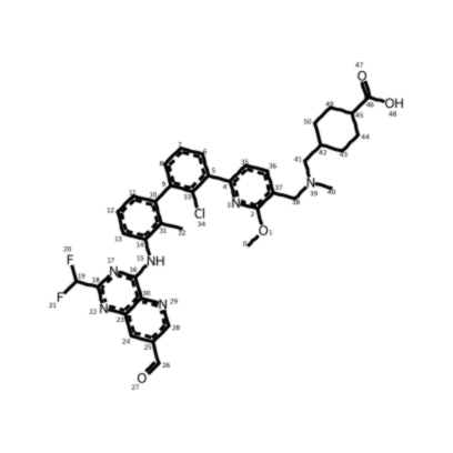 COc1nc(-c2cccc(-c3cccc(Nc4nc(C(F)F)nc5cc(C=O)cnc45)c3C)c2Cl)ccc1CN(C)CC1CCC(C(=O)O)CC1